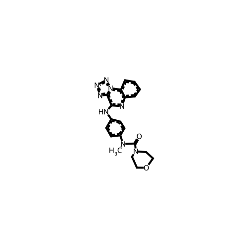 CN(C(=O)N1CCOCC1)c1ccc(Nc2nc3ccccc3n3nnnc23)cc1